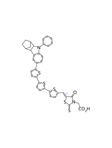 O=C(O)CN1C(=O)/C(=C/c2ccc(-c3ccc(-c4ccc(-c5ccc6c(c5)C5C7CCC(C7)C5N6c5ccccc5)s4)s3)s2)SC1=S